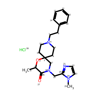 CC1OC2(CCN(CCc3ccccc3)CC2)CN(Cc2nccn2C)C1=O.Cl